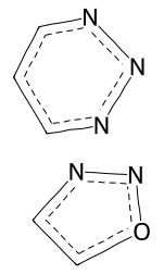 c1cnnnc1.c1conn1